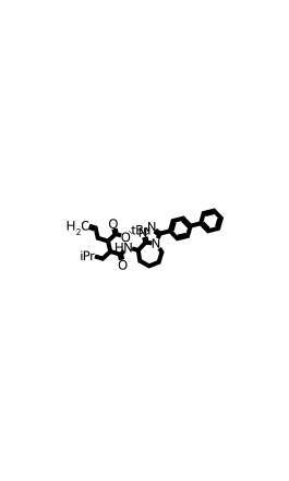 C=CCC(C(=O)OC(C)(C)C)C(CC(C)C)C(=O)NC1CCCCn2c(-c3ccc(-c4ccccc4)cc3)nnc21